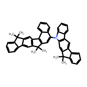 CC1(C)c2ccccc2-c2cc3c(cc21)-c1c(cc(-n2c4ccccc4c4cc5c(cc42)C(C)(C)c2ccccc2-5)c2ccccc12)C3(C)C